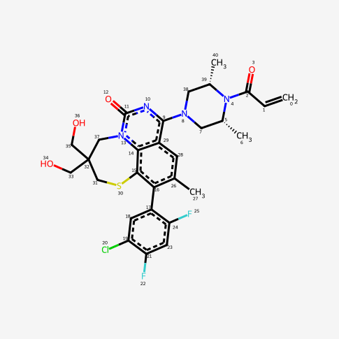 C=CC(=O)N1[C@H](C)CN(c2nc(=O)n3c4c(c(-c5cc(Cl)c(F)cc5F)c(C)cc24)SCC(CO)(CO)C3)C[C@@H]1C